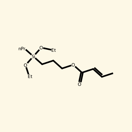 CC=CC(=O)OCCC[Si](CCC)(OCC)OCC